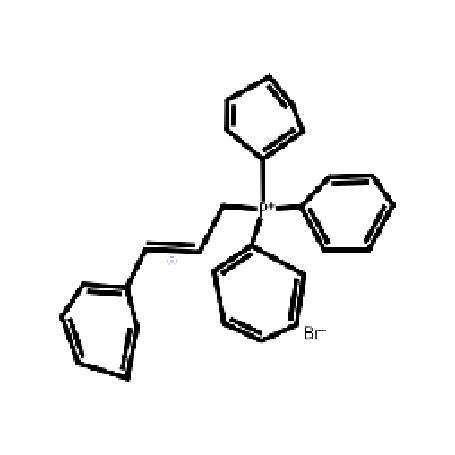 C(=C\c1ccccc1)/C[P+](c1ccccc1)(c1ccccc1)c1ccccc1.[Br-]